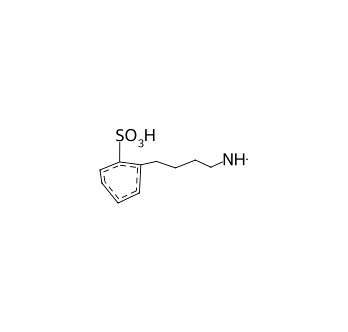 [NH]CCCCc1ccccc1S(=O)(=O)O